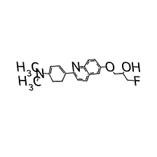 CN(C)C1=CC=C(c2ccc3cc(OCC(O)CF)ccc3n2)CC1